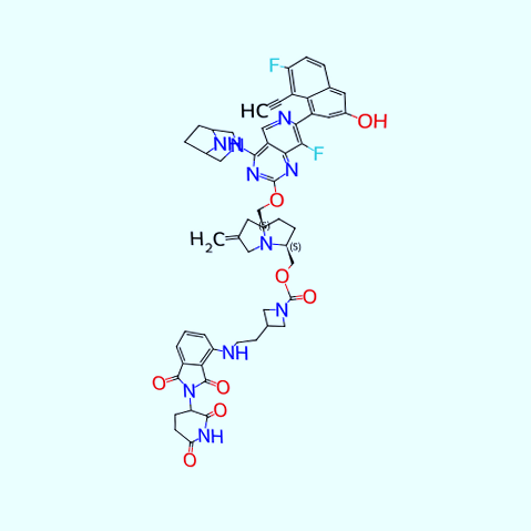 C#Cc1c(F)ccc2cc(O)cc(-c3ncc4c(N5CC6CCC(C5)N6)nc(OC[C@@]56CC[C@@H](COC(=O)N7CC(CCNc8cccc9c8C(=O)N(C8CCC(=O)NC8=O)C9=O)C7)N5CC(=C)C6)nc4c3F)c12